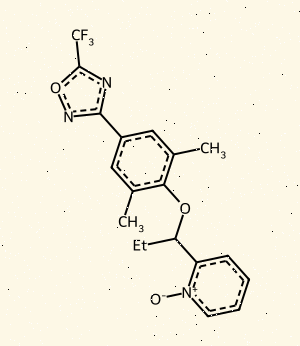 CCC(Oc1c(C)cc(-c2noc(C(F)(F)F)n2)cc1C)c1cccc[n+]1[O-]